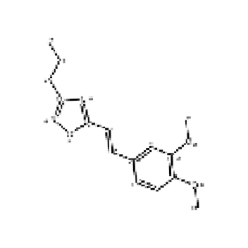 CCCc1noc(/C=C/c2ccc(OC)c(OC)c2)n1